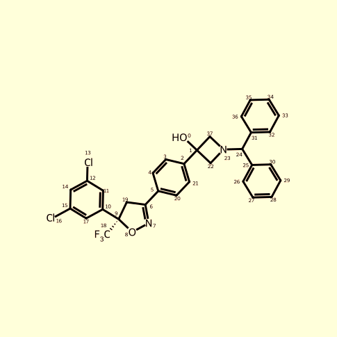 OC1(c2ccc(C3=NO[C@](c4cc(Cl)cc(Cl)c4)(C(F)(F)F)C3)cc2)CN(C(c2ccccc2)c2ccccc2)C1